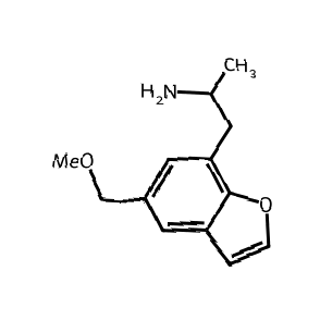 COCc1cc(CC(C)N)c2occc2c1